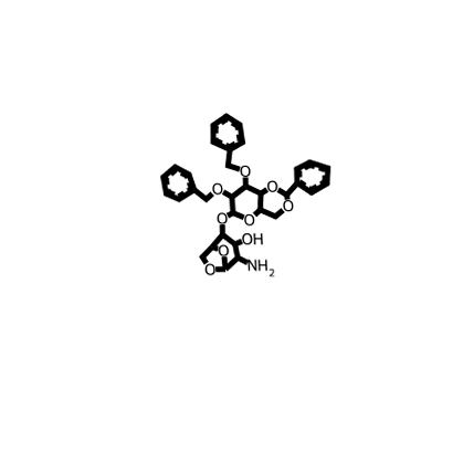 NC1C2OCC(O2)C(OC2OC3COC(c4ccccc4)OC3C(OCc3ccccc3)C2OCc2ccccc2)C1O